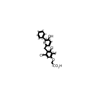 O=C(O)COc1cc(Cl)c(Cc2ccc(O)c(-c3ccccc3)n2)c(Cl)c1F